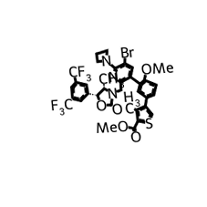 COC(=O)c1scc(-c2ccc(OC)c(-c3cc(Br)c(N4CCC4)nc3CN3C(=O)O[C@H](c4cc(C(F)(F)F)cc(C(F)(F)F)c4)[C@@H]3C)c2)c1C